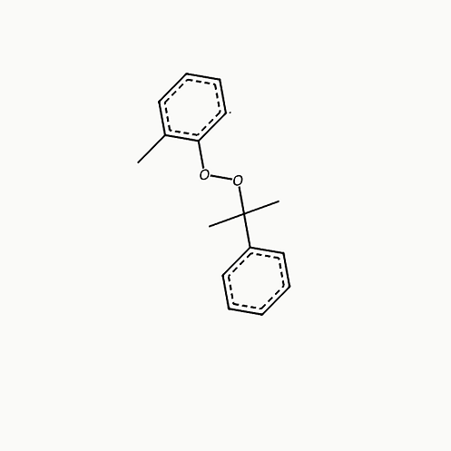 Cc1ccc[c]c1OOC(C)(C)c1ccccc1